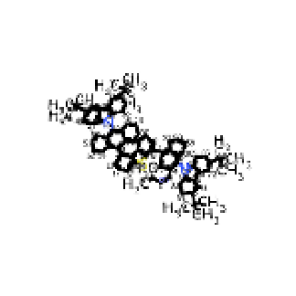 C=C/C=C\c1c(C)c(-c2cccc3c2sc2cccc(-c4c5ccccc5c(-n5c6ccc(C(C)(C)C)cc6c6cc(C(C)(C)C)ccc65)c5ccccc45)c23)c2ccccc2c1-n1c2ccc(C(C)(C)C)cc2c2cc(C(C)(C)C)ccc21